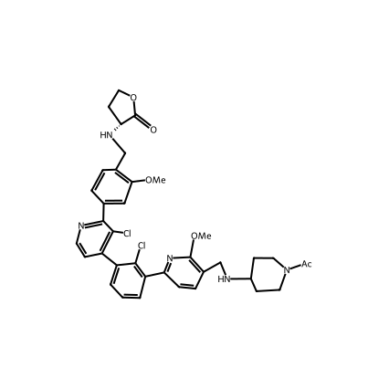 COc1cc(-c2nccc(-c3cccc(-c4ccc(CNC5CCN(C(C)=O)CC5)c(OC)n4)c3Cl)c2Cl)ccc1CN[C@@H]1CCOC1=O